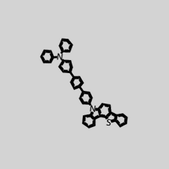 c1ccc(N(c2ccccc2)c2ccc(-c3ccc(-c4ccc(-n5c6ccccc6c6c7sc8ccccc8c7ccc65)cc4)cc3)cc2)cc1